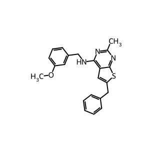 COc1cccc(CNc2nc(C)nc3sc(Cc4ccccc4)cc23)c1